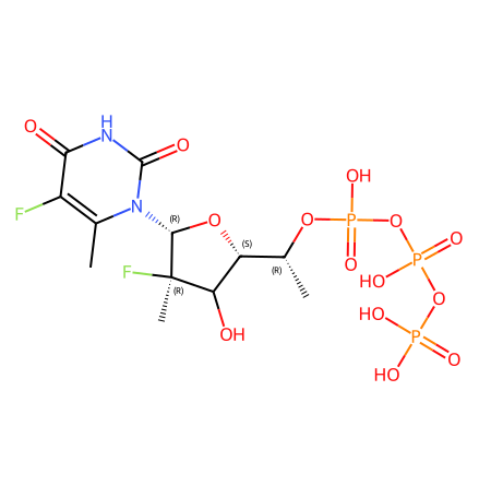 Cc1c(F)c(=O)[nH]c(=O)n1[C@@H]1O[C@H]([C@@H](C)OP(=O)(O)OP(=O)(O)OP(=O)(O)O)C(O)[C@@]1(C)F